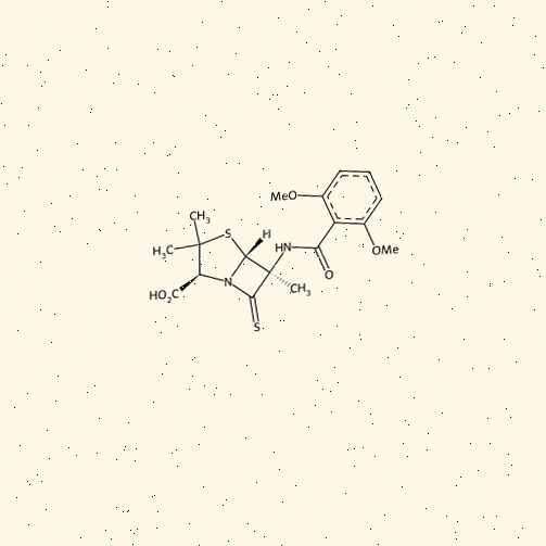 COc1cccc(OC)c1C(=O)N[C@@]1(C)C(=S)N2[C@@H](C(=O)O)C(C)(C)S[C@@H]21